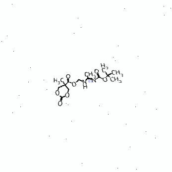 C/C(=N\C(=O)OC(C)(C)C)NCOC(=O)C1(C)COC(=O)OC1